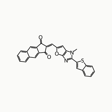 Cn1c(-c2cc3ccccc3s2)nc2oc(C=C3C(=O)c4cc5ccccc5cc4C3=O)cc21